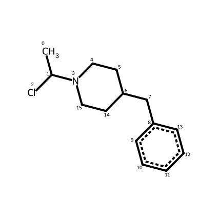 CC(Cl)N1CCC(Cc2ccccc2)CC1